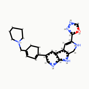 C1=C(CN2CCCCC2)CCC(c2cnc3[nH]c4c(c3c2)C=C(c2nnco2)NC4)=C1